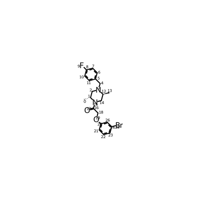 C[C@@H]1CN(Cc2ccc(F)cc2)[C@@H](C)CN1C(=O)COc1cccc(Br)c1